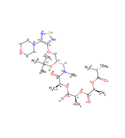 CC(=O)O[C@@H](C)C(=O)O[C@@H](C)C(=O)O[C@@H](C)C(=O)O[C@@H](C)C(=O)N(C[C@@H](COc1nsnc1N1CCOCC1)O[Si](C)(C)C(C)(C)C)C(C)(C)C